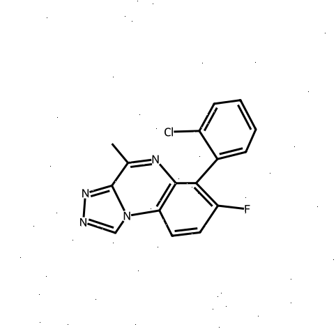 Cc1nc2c(-c3ccccc3Cl)c(F)ccc2n2cnnc12